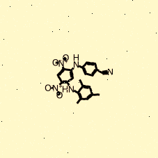 Cc1cc(C)c(Nc2cc(Nc3ccc(C#N)cc3)c([N+](=O)[O-])cc2[N+](=O)[O-])c(C)c1